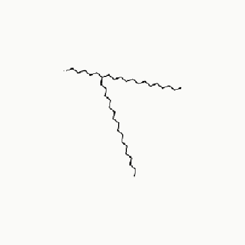 [CH2]CCCCCC(CCCCCCCCCCCCC)CCCCCCCCCCCCCCCCC